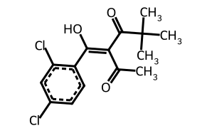 CC(=O)/C(C(=O)C(C)(C)C)=C(/O)c1ccc(Cl)cc1Cl